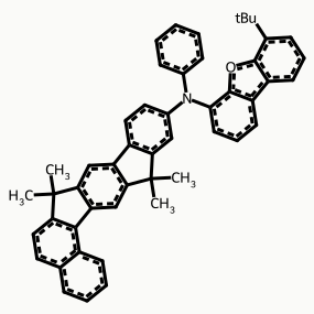 CC(C)(C)c1cccc2c1oc1c(N(c3ccccc3)c3ccc4c(c3)C(C)(C)c3cc5c(cc3-4)C(C)(C)c3ccc4ccccc4c3-5)cccc12